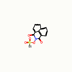 CCS(=O)(=O)ON1C(=O)c2cccc3cccc(c23)C1=O